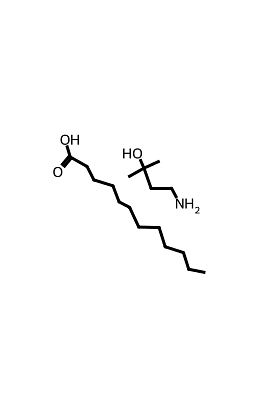 CC(C)(O)CCN.CCCCCCCCCCCC(=O)O